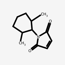 CC1CCCC(C)C1N1C(=O)C=CC1=O